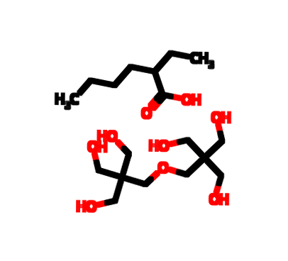 CCCCC(CC)C(=O)O.OCC(CO)(CO)COCC(CO)(CO)CO